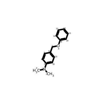 CN(C)c1ccc(COc2cc[c]cc2)cc1